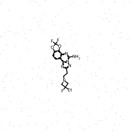 CCC1(F)CN(CCc2nc3c4ccc5c(c4nc(N)n3n2)OC(F)(F)O5)C1